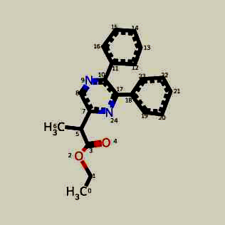 CCOC(=O)C(C)c1cnc(-c2ccccc2)c(-c2ccccc2)n1